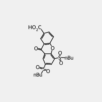 CCCCS(=O)(=O)c1cc(S(=O)(=O)CCCC)c2oc3ccc(C(=O)O)cc3c(=O)c2c1